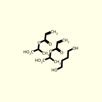 C=CC(=O)OC(C)C(=O)O.C=CC(=O)OC(C)C(=O)O.OCCCCO